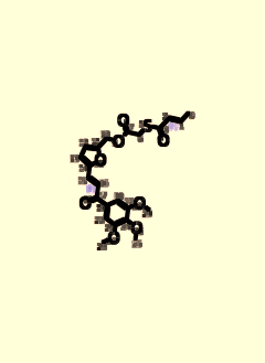 C/C=C/C(=O)SCC(=O)OCc1ccc(/C=C/C(=O)c2cc(OC)c(OC)c(OC)c2)o1